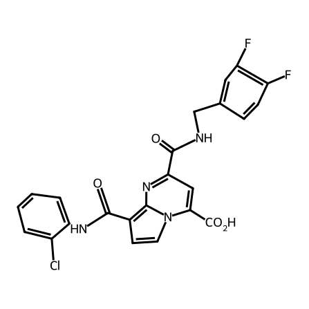 O=C(NCc1ccc(F)c(F)c1)c1cc(C(=O)O)n2ccc(C(=O)Nc3ccccc3Cl)c2n1